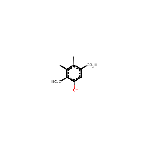 Cc1c(C(=O)O)cc(O)c(C(=O)O)c1C